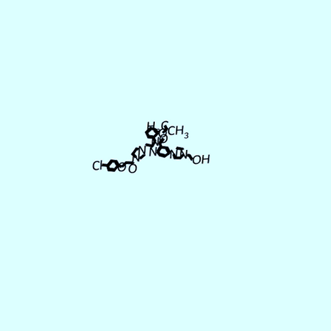 CC(C)Oc1ccccc1-n1c(CN2CCN(C(=O)COc3ccc(Cl)cc3)CC2)nc2ccc(N3CCN(CCO)CC3)cc2c1=O